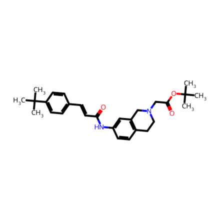 CC(C)(C)OC(=O)CN1CCc2ccc(NC(=O)/C=C/c3ccc(C(C)(C)C)cc3)cc2C1